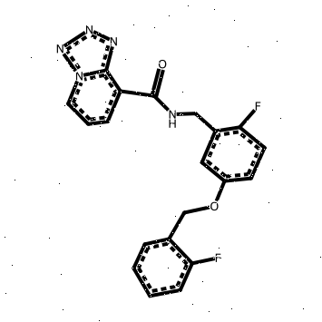 O=C(NCc1cc(OCc2ccccc2F)ccc1F)c1cccn2nnnc12